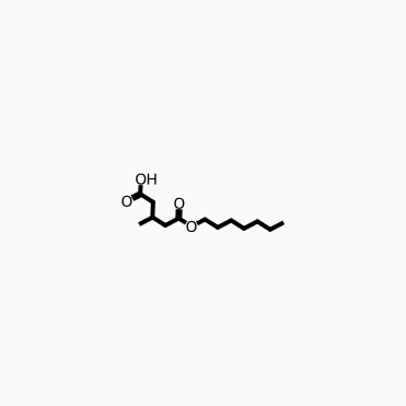 CCCCCCCOC(=O)CC(C)CC(=O)O